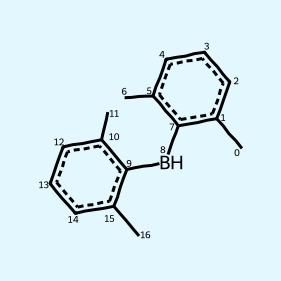 Cc1cccc(C)c1Bc1c(C)cccc1C